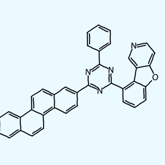 c1ccc(-c2nc(-c3ccc4c(ccc5c6ccccc6ccc45)c3)nc(-c3cccc4oc5ccncc5c34)n2)cc1